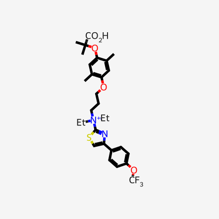 CC[N+](CC)(CCCOc1cc(C)c(OC(C)(C)C(=O)O)cc1C)c1nc(-c2ccc(OC(F)(F)F)cc2)cs1